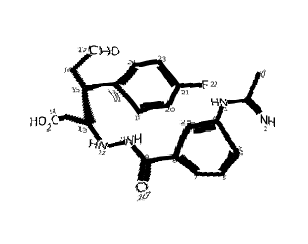 CC(=N)Nc1cccc(C(=O)NNC(C(=O)O)C(CC=O)c2ccc(F)cc2)c1